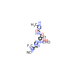 CCc1cc(Nc2nccn3c(-c4cn(CC#N)nc4C(F)(F)F)cnc23)ccc1C(=O)NCC(=O)N1CCNC(C)C1.O=CO